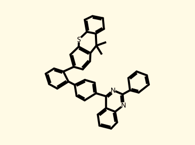 CC1(C)c2ccccc2Sc2cc(-c3ccccc3-c3ccc(-c4nc(-c5ccccc5)nc5ccccc45)cc3)ccc21